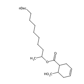 CCCCCCCCCCCCCCCCCC(C)OC(=O)C1CC=CCC1C(=O)O